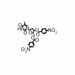 Cc1cn([C@@H]2C[C@@H](OC(=O)c3ccc([N+](=O)[O-])cc3)[C@@H](COC(=O)c3ccc([N+](=O)[O-])cc3)O2)c(=O)[nH]c1=O